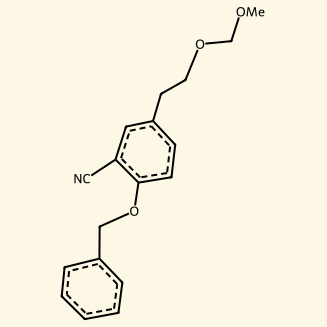 COCOCCc1ccc(OCc2ccccc2)c(C#N)c1